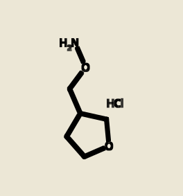 Cl.NOCC1CCOC1